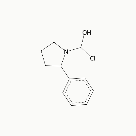 OC(Cl)N1CCCC1c1ccccc1